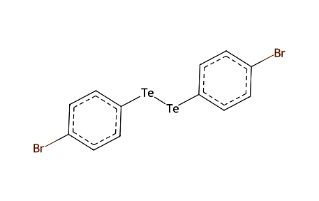 Brc1ccc([Te][Te]c2ccc(Br)cc2)cc1